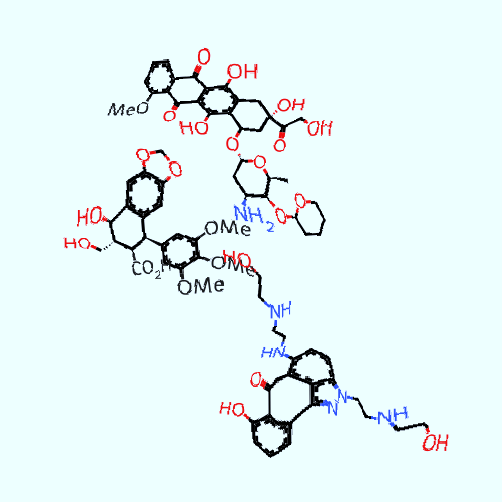 COc1cc([C@@H]2c3cc4c(cc3[C@H](O)[C@@H](CO)[C@@H]2C(=O)O)OCO4)cc(OC)c1OC.COc1cccc2c1C(=O)c1c(O)c3c(c(O)c1C2=O)C[C@@](O)(C(=O)CO)CC3O[C@H]1C[C@H](N)[C@H](O[C@@H]2CCCCO2)[C@H](C)O1.O=C1c2c(O)cccc2-c2nn(CCNCCO)c3ccc(NCCNCCO)c1c23